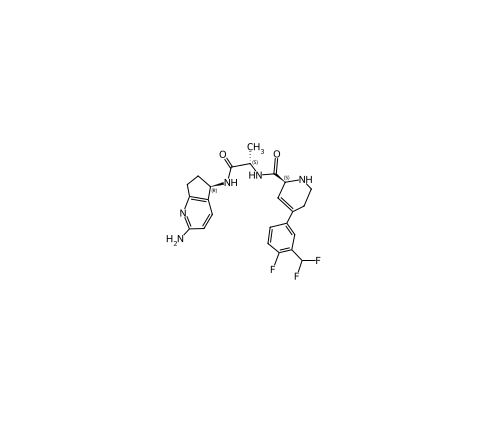 C[C@H](NC(=O)[C@@H]1C=C(c2ccc(F)c(C(F)F)c2)CCN1)C(=O)N[C@@H]1CCc2nc(N)ccc21